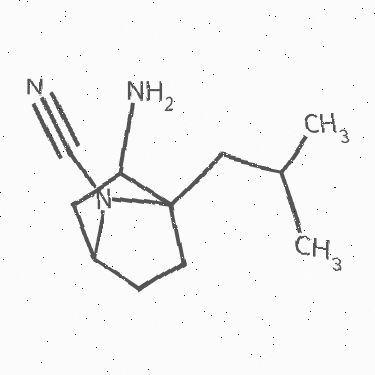 CC(C)CC12CCC(CC1N)N2C#N